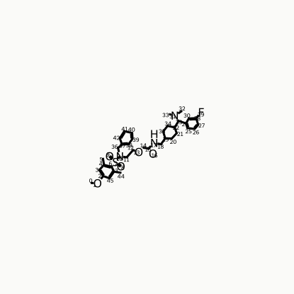 COc1cc(C)c(S(=O)(=O)N(CCOCC(=O)NCC2CCC(C(c3cccc(F)c3)N(C)C)CC2)Cc2ccccc2)c(C)c1